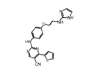 N#Cc1cnc(Nc2ccc(OCCNc3ncc[nH]3)cc2)nc1-c1cccs1